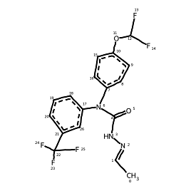 CC=NNC(=O)N(c1ccc(OC(F)F)cc1)c1cccc(C(F)(F)F)c1